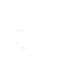 C(#Cc1ccccc1)c1ccccc1.Cl.NNC(N)=S